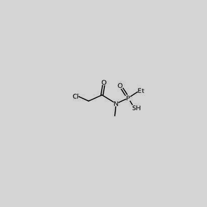 CCP(=O)(S)N(C)C(=O)CCl